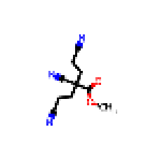 COC(=O)C(C#N)(CCC#N)CCC#N